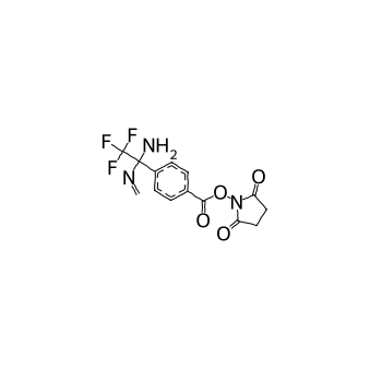 C=NC(N)(c1ccc(C(=O)ON2C(=O)CCC2=O)cc1)C(F)(F)F